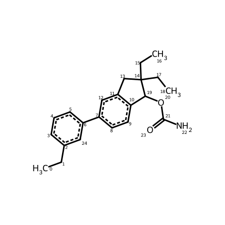 CCc1cccc(-c2ccc3c(c2)CC(CC)(CC)C3OC(N)=O)c1